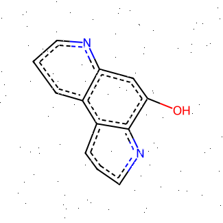 Oc1cc2ncccc2c2cccnc12